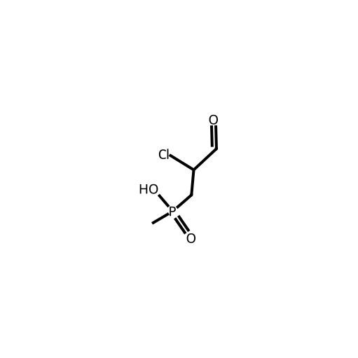 CP(=O)(O)CC(Cl)C=O